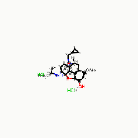 COc1cc(O)c2c3c1C[C@@H]1[C@@H]4CC[C@@H](N[C@@H](C(=O)O)C(C)C)[C@H](O2)[C@]34CCN1CC1CC1.Cl.Cl